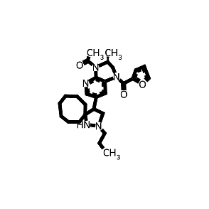 CCCN1CC(c2cnc3c(c2)N(C(=O)c2ccco2)C[C@H](C)N3C(C)=O)C2(CCCCCCC2)N1